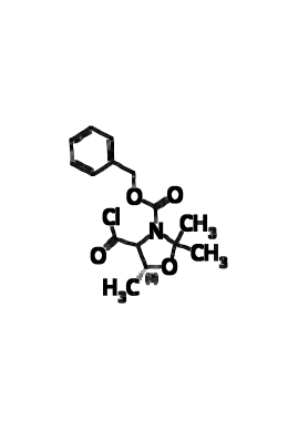 C[C@H]1OC(C)(C)N(C(=O)OCc2ccccc2)C1C(=O)Cl